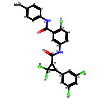 COc1[c]cc(NC(=O)c2cc(NC(=O)C3C(c4cc(Cl)cc(Cl)c4)C3(Cl)Cl)ccc2Cl)cc1